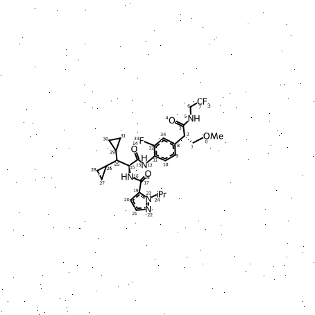 COC[C@@H](C(=O)NCC(F)(F)F)c1ccc(NC(=O)[C@@H](NC(=O)c2ccnn2C(C)C)C(C2CC2)C2CC2)c(F)c1